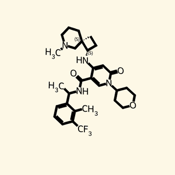 Cc1c(C(C)NC(=O)c2cn(C3CCOCC3)c(=O)cc2N[C@H]2CC[C@]23CCCN(C)C3)cccc1C(F)(F)F